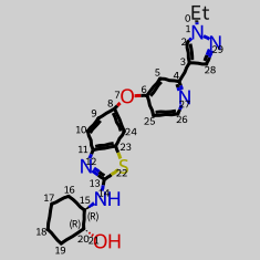 CCn1cc(-c2cc(Oc3ccc4nc(N[C@@H]5CCCC[C@H]5O)sc4c3)ccn2)cn1